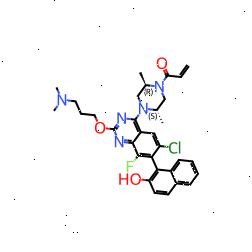 C=CC(=O)N1C[C@H](C)N(c2nc(OCCCN(C)C)nc3c(F)c(-c4c(O)ccc5ccccc45)c(Cl)cc23)C[C@H]1C